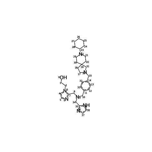 OCCn1ccnc1CN(Cc1ccc(CN2CCC3(CCN(C4CCCCC4)CC3)C2)cc1)Cc1ncc[nH]1